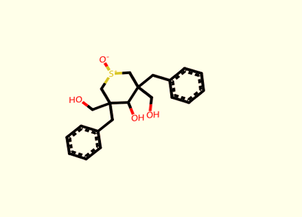 [O-][S+]1CC(CO)(Cc2ccccc2)C(O)C(CO)(Cc2ccccc2)C1